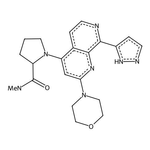 CNC(=O)C1CCCN1c1cc(N2CCOCC2)nc2c(-c3ccn[nH]3)nccc12